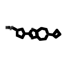 O=C(O)N1CCC(c2nc3c(s2)CCN(C2CCC2)CC3)C1